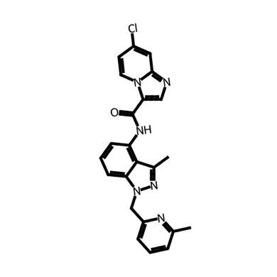 Cc1cccc(Cn2nc(C)c3c(NC(=O)c4cnc5cc(Cl)ccn45)cccc32)n1